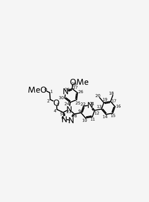 COCCOCc1nnc(-c2ccc(-c3cccc(C)c3C)nc2)n1-c1ccc(OC)nc1